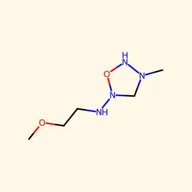 COCCNN1CN(C)NO1